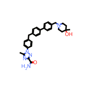 Cc1nc(C(N)=O)nn1-c1ccc(Cc2ccc(-c3ccc(CN4CCC(C)(O)CC4)cc3)cc2)cc1